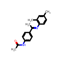 CC(=O)Nc1ccc(/C(C)=N/c2ccc(C)cc2C)cc1